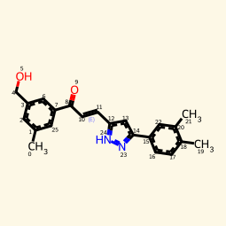 Cc1cc(CO)cc(C(=O)/C=C/c2cc(-c3ccc(C)c(C)c3)n[nH]2)c1